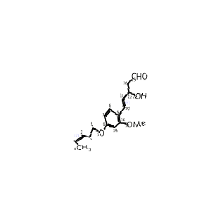 C/C=C\CCOc1ccc(/C=C/C(O)CC=O)c(OC)c1